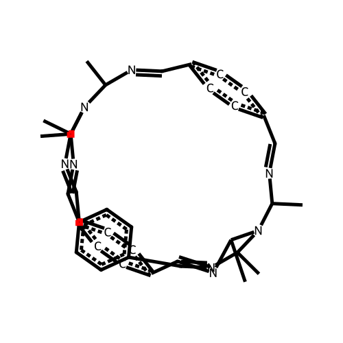 CC1/N=C/c2ccc(cc2)/C=N/C(C)N2C(C)/N=C/c3ccc(cc3)/C=N/C(C)N1C(C)/N=C/c1ccc(cc1)/C=N/C2C